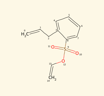 C=CCc1ccccc1S(=O)(=O)OC=C